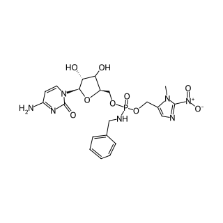 Cn1c(COP(=O)(NCc2ccccc2)OC[C@H]2O[C@@H](n3ccc(N)nc3=O)[C@H](O)C2O)cnc1[N+](=O)[O-]